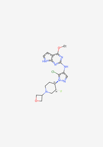 CCOc1nc(Nc2cnn([C@@H]3CCN(C4COC4)C[C@H]3F)c2Cl)nc2[nH]ccc12